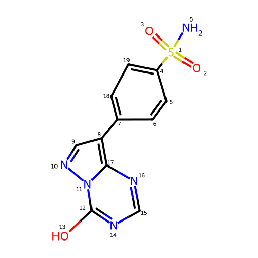 NS(=O)(=O)c1ccc(-c2cnn3c(O)ncnc23)cc1